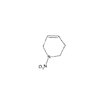 O=[N+]([O-])N1CC=CCC1